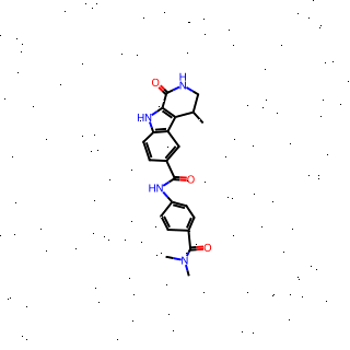 CC1CNC(=O)c2[nH]c3ccc(C(=O)Nc4ccc(C(=O)N(C)C)cc4)cc3c21